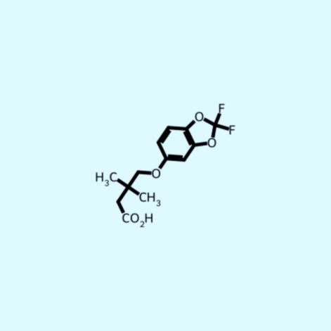 CC(C)(COc1ccc2c(c1)OC(F)(F)O2)CC(=O)O